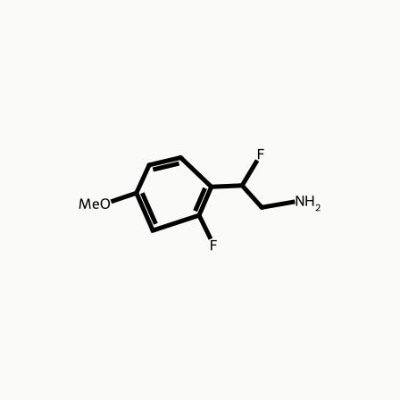 COc1ccc(C(F)CN)c(F)c1